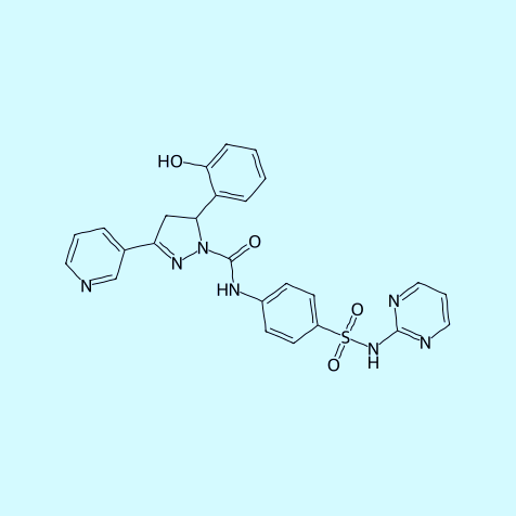 O=C(Nc1ccc(S(=O)(=O)Nc2ncccn2)cc1)N1N=C(c2cccnc2)CC1c1ccccc1O